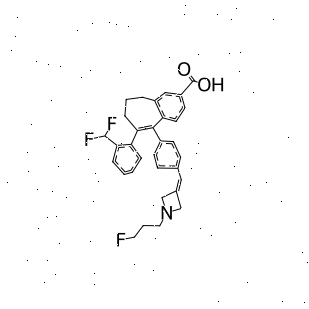 O=C(O)c1ccc2c(c1)CCCC(c1ccccc1C(F)F)=C2c1ccc(C=C2CN(CCCF)C2)cc1